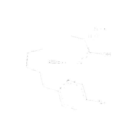 CCC(=O)O.O.O.O=C1CCCC1Cc1cc[c]([Na])cc1